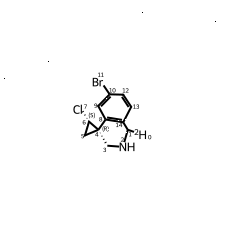 [2H]C1NC[C@@]2(C[C@@H]2Cl)c2cc(Br)ccc21